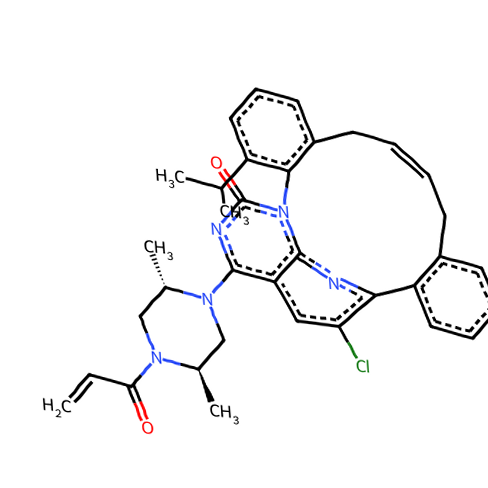 C=CC(=O)N1C[C@H](C)N(c2nc(=O)n3c4nc(c(Cl)cc24)-c2ccccc2C/C=C\Cc2cccc(C(C)C)c2-3)C[C@H]1C